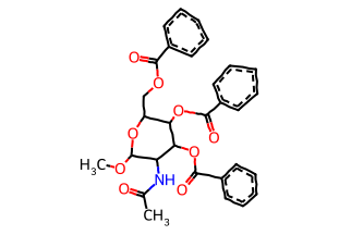 COC1OC(COC(=O)c2ccccc2)C(OC(=O)c2ccccc2)C(OC(=O)c2ccccc2)C1NC(C)=O